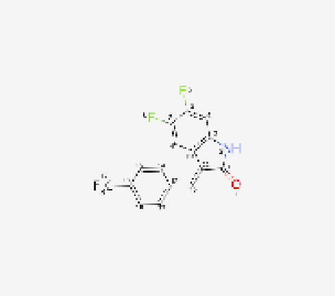 O=C1Nc2cc(F)c(F)cc2C1=Cc1ccc(C(F)(F)F)cc1